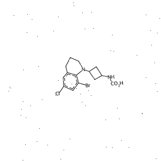 O=C(O)NC1CC(N2CCCc3cc(Cl)cc(Br)c32)C1